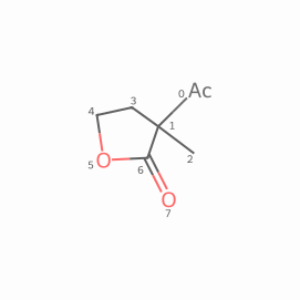 CC(=O)C1(C)CCOC1=O